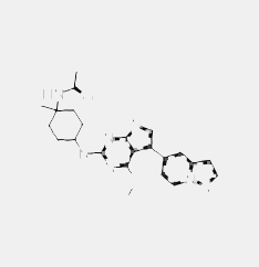 COc1nc(NC2CCC(C)(NC(C)=O)CC2)nc2[nH]cc(-c3ccn4nccc4c3)c12